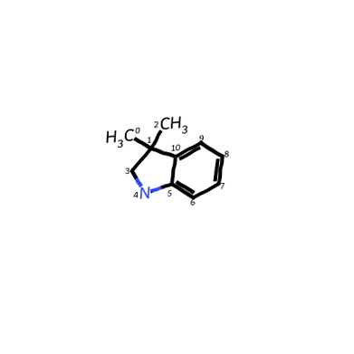 CC1(C)C[N]c2ccccc21